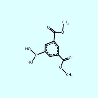 COC(=O)c1cc(B(O)O)cc(C(=O)OC)c1